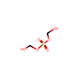 O=S(=O)(OCO)OCO